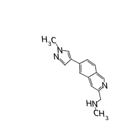 CNCc1cc2cc(-c3cnn(C)c3)ccc2cn1